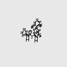 O=C(Cc1[nH]c(=S)n2c1C[C@H](c1c(F)cccc1F)C2)NC1CCCC1